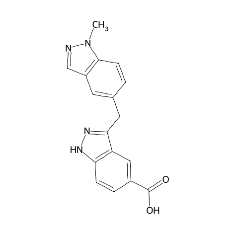 Cn1ncc2cc(Cc3n[nH]c4ccc(C(=O)O)cc34)ccc21